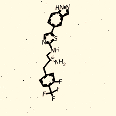 N[C@@H](CNc1ncc(-c2ccc3[nH]ncc3c2)s1)Cc1ccc(C(F)(F)F)c(F)c1